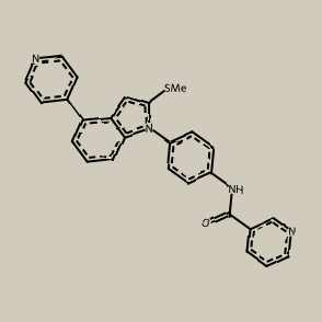 CSc1cc2c(-c3ccncc3)cccc2n1-c1ccc(NC(=O)c2cccnc2)cc1